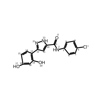 O=C(Nc1ccc(Cl)cc1)c1cc(-c2ccc(O)cc2O)n[nH]1